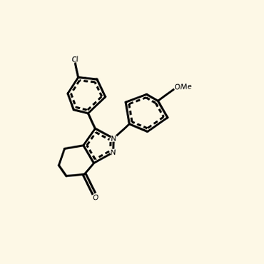 COc1ccc(-n2nc3c(c2-c2ccc(Cl)cc2)CCCC3=O)cc1